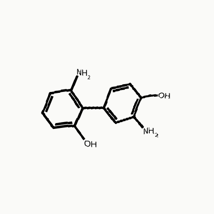 Nc1cc(-c2c(N)cccc2O)ccc1O